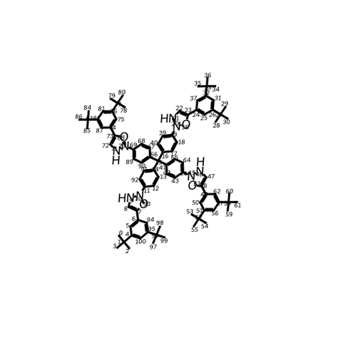 CC(C)(C)c1cc(C2=CNN(c3ccc(C(c4ccc(N5NC=C(c6cc(C(C)(C)C)cc(C(C)(C)C)c6)O5)cc4)(c4ccc(N5NC=C(c6cc(C(C)(C)C)cc(C(C)(C)C)c6)O5)cc4)c4ccc(N5NC=C(c6cc(C(C)(C)C)cc(C(C)(C)C)c6)O5)cc4)cc3)O2)cc(C(C)(C)C)c1